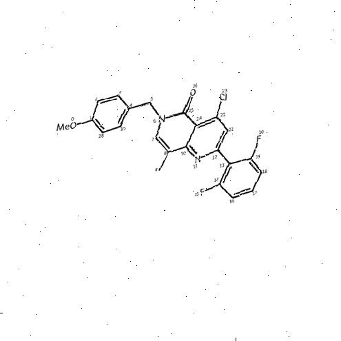 COc1ccc(Cn2cc(C)c3nc(-c4c(F)cccc4F)cc(Cl)c3c2=O)cc1